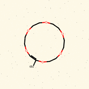 CC(C)(C)C1=COCCOCCOCCOCCOCCO1